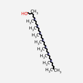 CC(C)=CCC/C(C)=C/CC/C(C)=C/CC/C(C)=C/CC/C(C)=C/CC/C(C)=C/CC/C(C)=C/CC/C(C)=C/CCC(C)CCO